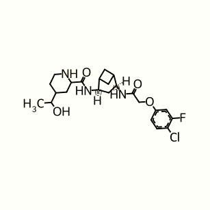 CC(O)C1CCNC(C(=O)N[C@@H]2C[C@H](NC(=O)COc3ccc(Cl)c(F)c3)C3CC2C3)C1